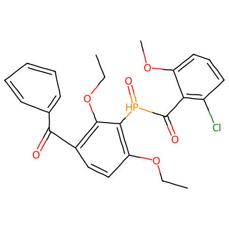 CCOc1ccc(C(=O)c2ccccc2)c(OCC)c1[PH](=O)C(=O)c1c(Cl)cccc1OC